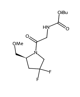 COC[C@@H]1CC(F)(F)CN1C(=O)CNC(=O)OCC(C)C